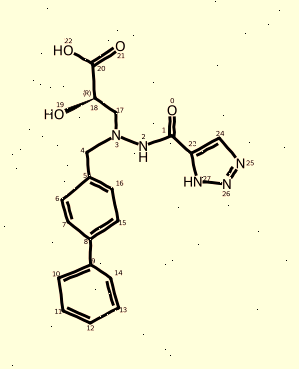 O=C(NN(Cc1ccc(-c2ccccc2)cc1)C[C@@H](O)C(=O)O)c1cnn[nH]1